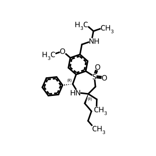 CCCC[C@]1(CC)CS(=O)(=O)c2cc(CNC(C)C)c(OC)cc2[C@@H](c2ccccc2)N1